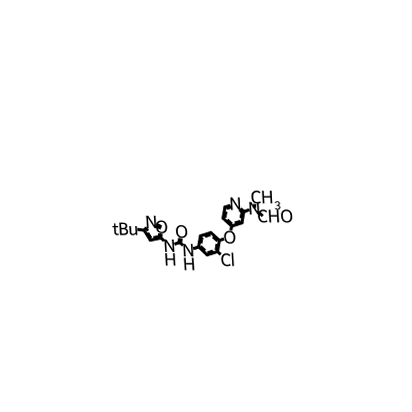 CN(C=O)c1cc(Oc2ccc(NC(=O)Nc3cc(C(C)(C)C)no3)cc2Cl)ccn1